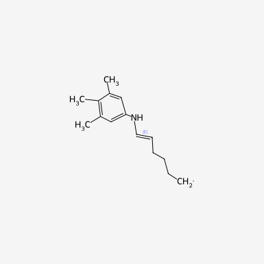 [CH2]CCC/C=C/Nc1cc(C)c(C)c(C)c1